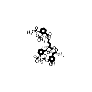 CC(=O)Oc1cccc(C(=O)NCCCC(NC(=O)c2cccc(OC(C)=O)c2OC(C)=O)C(=O)NC(C(N)=O)c2ccc(O)cc2)c1OC(C)=O